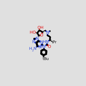 CC(C)[C@H](CCN(C)C[C@H]1O[C@@H](n2cnc3c(N)ncnc32)[C@H](O)[C@H]1O)NC(=O)Nc1ccc(C(C)(C)C)cc1